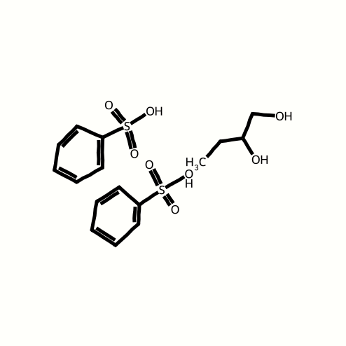 CCC(O)CO.O=S(=O)(O)c1ccccc1.O=S(=O)(O)c1ccccc1